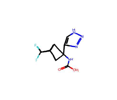 O=C(O)NC1(c2c[nH]nn2)CC(C(F)F)C1